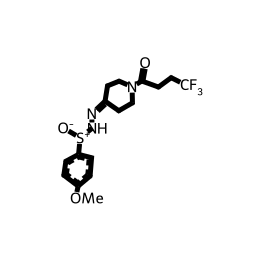 COc1ccc([S+]([O-])NN=C2CCN(C(=O)CCC(F)(F)F)CC2)cc1